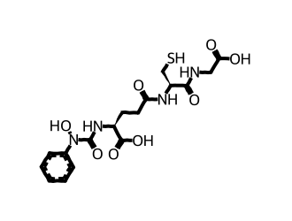 O=C(O)CNC(=O)[C@H](CS)NC(=O)CC[C@H](NC(=O)N(O)c1ccccc1)C(=O)O